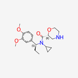 CC[C@@H](c1ccc(OC)c(OC)c1)N(C(=O)[C@H]1CNCCO1)C1CC1